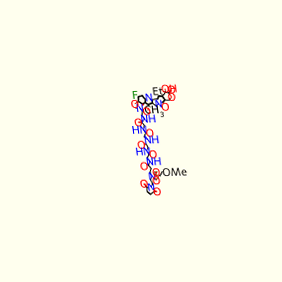 CC[C@@]1(O)C(=O)OCc2c1cc1n(c2=O)Cc2c-1nc1cc(F)c3c(c1c2C)N(C(=O)CNC(=O)CNC(=O)CNC(=O)CNC(=O)CNC(=O)CCN(CCN1C(=O)C=CC1=O)S(=O)(=O)CCOC)CO3